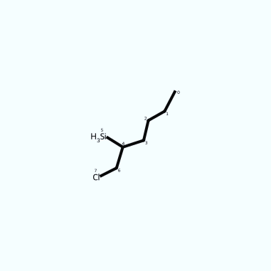 CCCCC([SiH3])CCl